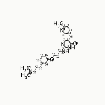 Cc1ccc(Cc2cnc(NCCCOc3cccc(CCCN(C)C)c3)[nH]c2=O)cn1